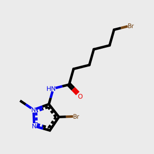 Cn1ncc(Br)c1NC(=O)CCCCCBr